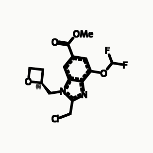 COC(=O)c1cc(OC(F)F)c2nc(CCl)n(C[C@@H]3CCO3)c2c1